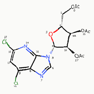 CC(=O)OC[C@H]1O[C@@H](n2cnc3c(Cl)cc(Cl)nc32)[C@H](OC(C)=O)[C@@H]1OC(C)=O